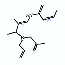 C=CCN(CC(=C)C)C(C)/C(C)=C/NC(=C)/C=C\C